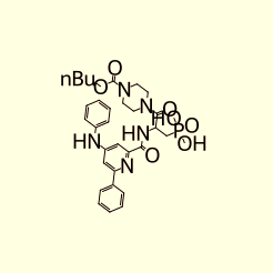 CCCCOC(=O)N1CCN(C(=O)C(CP(=O)(O)O)NC(=O)c2cc(Nc3ccccc3)cc(-c3ccccc3)n2)CC1